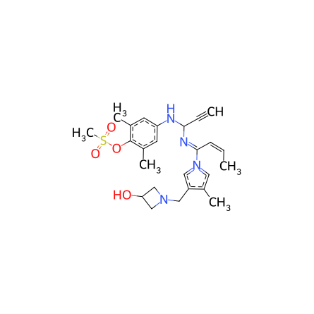 C#CC(/N=C(\C=C/C)n1cc(C)c(CN2CC(O)C2)c1)Nc1cc(C)c(OS(C)(=O)=O)c(C)c1